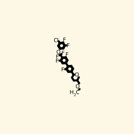 C=COCC1CCC(c2ccc(-c3cc(F)c(C(F)(F)Oc4cc(F)c(F)c(Cl)c4)c(F)c3)c(F)c2)OC1